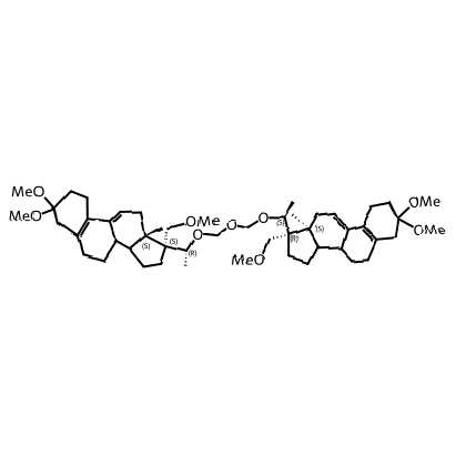 COC[C@@]1([C@H](C)OCOCO[C@H](C)[C@@]2(COC)CCC3C4CCC5=C(CCC(OC)(OC)C5)C4=CC[C@@]32C)CCC2C3CCC4=C(CCC(OC)(OC)C4)C3=CC[C@@]21C